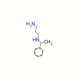 CC(NCCCN)c1ccccc1